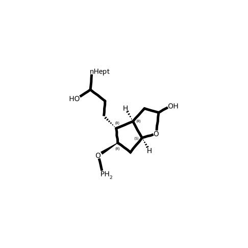 CCCCCCCC(O)CC[C@@H]1[C@H]2CC(O)O[C@H]2C[C@H]1OP